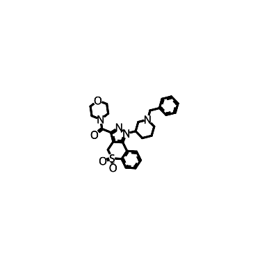 O=C(c1nn(C2CCCN(Cc3ccccc3)C2)c2c1CS(=O)(=O)c1ccccc1-2)N1CCOCC1